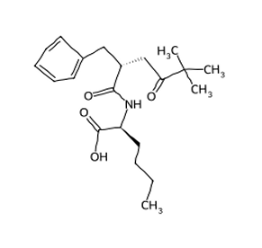 CCCC[C@H](NC(=O)[C@@H](CC(=O)C(C)(C)C)Cc1ccccc1)C(=O)O